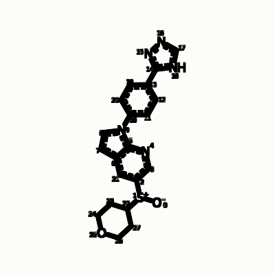 [O-][S+](c1cnc2c(ccn2-c2ccc(-c3nnc[nH]3)cc2)c1)C1CCOCC1